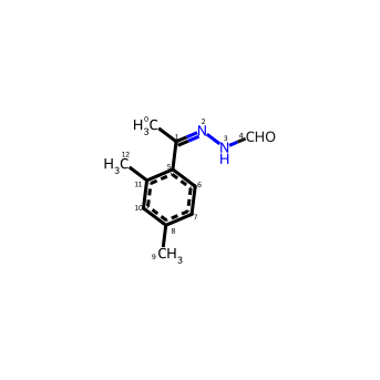 C/C(=N/NC=O)c1ccc(C)cc1C